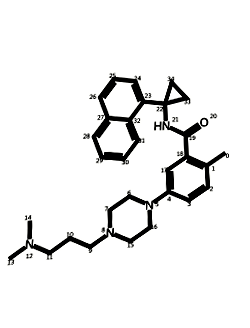 Cc1ccc(N2CCN(CCCN(C)C)CC2)cc1C(=O)NC1(c2cccc3ccccc23)CC1